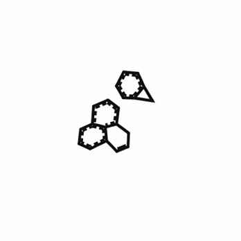 C1=Cc2cccc3cccc(c23)C1.c1ccc2c(c1)C2